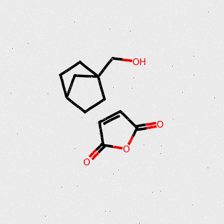 O=C1C=CC(=O)O1.OCC12CCC(CC1)C2